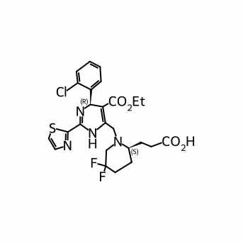 CCOC(=O)C1=C(CN2CC(F)(F)CC[C@@H]2CCC(=O)O)NC(c2nccs2)=N[C@H]1c1ccccc1Cl